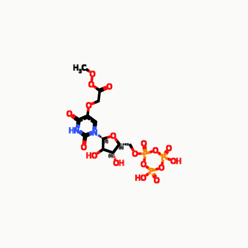 COOC(=O)COc1cn([C@@H]2O[C@H](COP3(=O)OP(=O)(O)OP(=O)(O)O3)[C@H](O)C2O)c(=O)[nH]c1=O